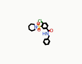 O=C(NCc1ccccc1)c1ccc(Cl)c(S(=O)(=O)N2CCCCCC2)c1